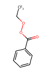 O=C(OOCC(F)(F)F)c1ccccc1